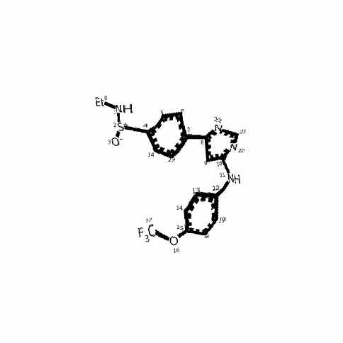 CCN[S+]([O-])c1ccc(-c2cc(Nc3ccc(OC(F)(F)F)cc3)ncn2)cc1